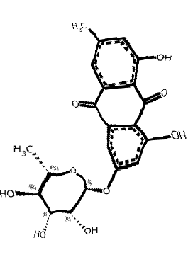 Cc1cc(O)c2c(c1)C(=O)c1cc(O[C@@H]3O[C@@H](C)[C@H](O)[C@@H](O)[C@H]3O)cc(O)c1C2=O